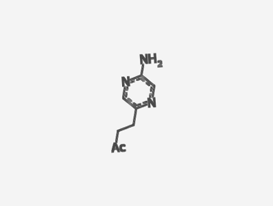 CC(=O)CCc1cnc(N)cn1